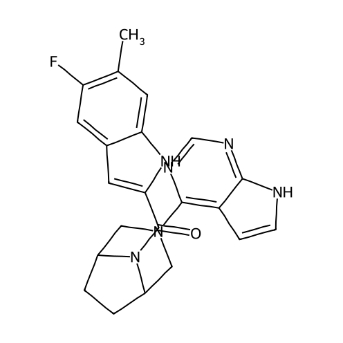 Cc1cc2[nH]c(C(=O)N3C4CCC3CN(c3ncnc5[nH]ccc35)C4)cc2cc1F